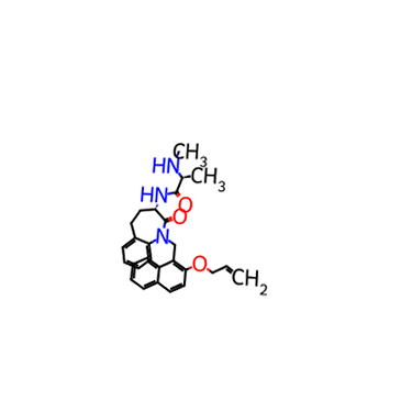 C=CCOc1ccc2ccccc2c1CN1C(=O)[C@@H](NC(=O)[C@H](C)NC)CCc2ccccc21